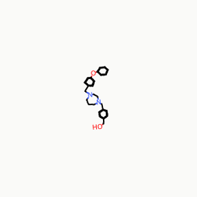 OCc1ccc(CN2CCCN(Cc3ccc(Oc4ccccc4)cc3)CC2)cc1